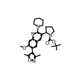 COc1cc2nc(N3CCCCC3)c(C3CCCN3C(=O)OC(C)(C)C)cc2cc1-c1c(C)noc1C